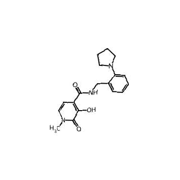 Cn1ccc(C(=O)NCc2ccccc2N2CCCC2)c(O)c1=O